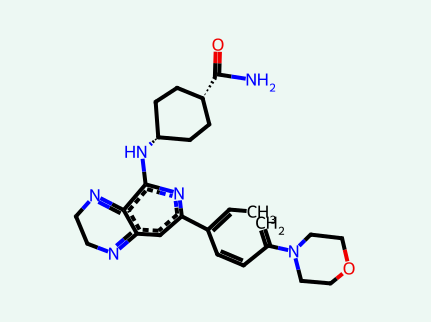 C=C(/C=C\C(=C/C)c1cc2c(c(N[C@H]3CC[C@@H](C(N)=O)CC3)n1)=NCCN=2)N1CCOCC1